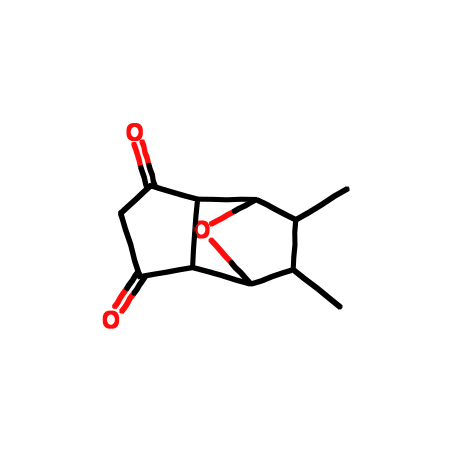 CC1C(C)C2OC1C1C(=O)CC(=O)C21